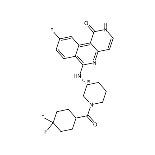 O=C(C1CCC(F)(F)CC1)N1CCC[C@@H](Nc2nc3cc[nH]c(=O)c3c3cc(F)ccc23)C1